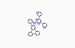 c1cncc(-c2cc(-c3cccnc3)nc(-n3c4ccccc4c4cc5c6ccccc6c6ccccc6c5cc43)n2)c1